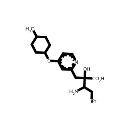 CC(C)CC(N)C(O)(Cc1cc(OC2CCC(C)CC2)ccn1)C(=O)O